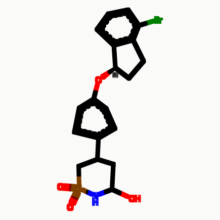 O=S1(=O)CC(c2ccc(O[C@@H]3CCc4c(Br)cccc43)cc2)CC(O)N1